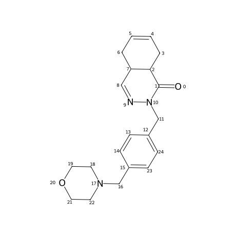 O=C1C2CC=CCC2C=NN1Cc1ccc(CN2CCOCC2)cc1